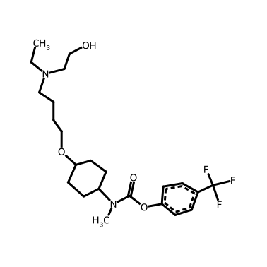 CCN(CCO)CCCCOC1CCC(N(C)C(=O)Oc2ccc(C(F)(F)F)cc2)CC1